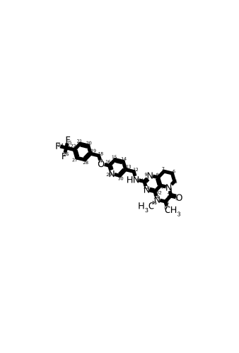 CC1C(=O)N2CCCc3nc(NCc4ccc(OCc5ccc(C(F)(F)F)cc5)nc4)nc(c32)N1C